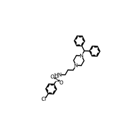 O=S(=O)(NCCCN1CCN(C(c2ccccc2)c2ccccc2)CC1)c1ccc(Cl)cc1